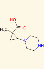 CC1(C(=O)O)CC1N1CCNCC1